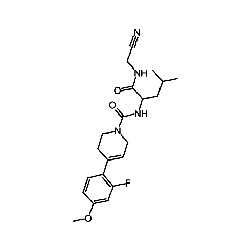 COc1ccc(C2=CCN(C(=O)NC(CC(C)C)C(=O)NCC#N)CC2)c(F)c1